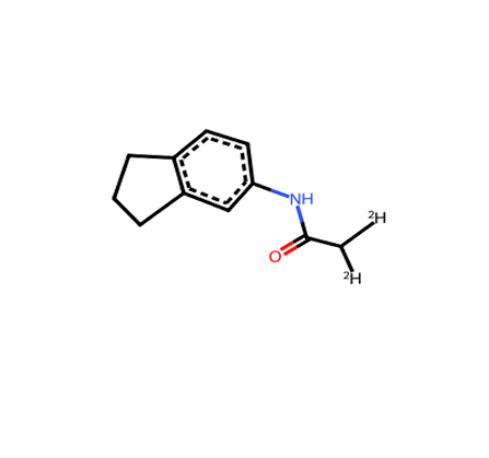 [2H]C([2H])C(=O)Nc1ccc2c(c1)CCC2